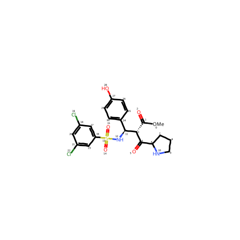 COC(=O)[C@H](C(=O)C1CCCN1)[C@@H](NS(=O)(=O)c1cc(Cl)cc(Cl)c1)c1ccc(O)cc1